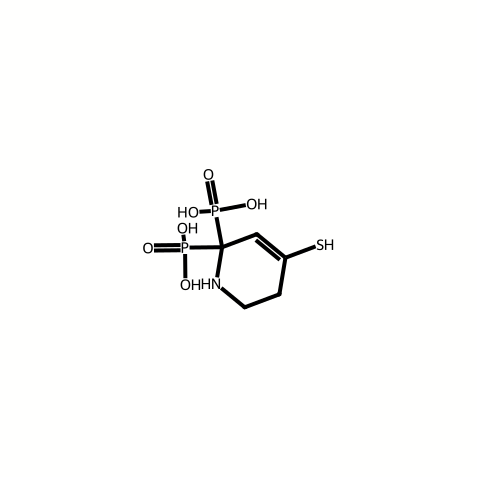 O=P(O)(O)C1(P(=O)(O)O)C=C(S)CCN1